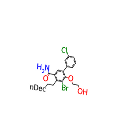 CCCCCCCCCCCCc1c(C(N)=O)cc(-c2cccc(Cl)c2)c(OCCO)c1Br